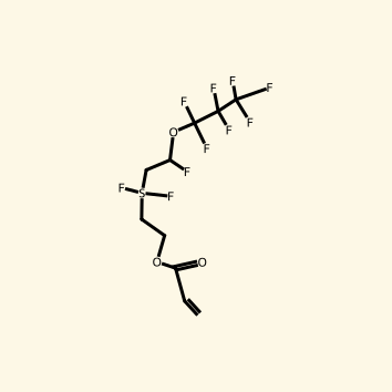 C=CC(=O)OCCS(F)(F)CC(F)OC(F)(F)C(F)(F)C(F)(F)F